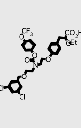 CCOC(Cc1ccc(OCCN(CCOCc2cc(Cl)cc(Cl)c2)C(=O)Oc2ccc(OC(F)(F)F)cc2)cc1)C(=O)O